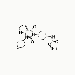 CC(C)(C)OC(=O)NC1CCC(n2c(=O)c3cccnc3n(C3CCSCC3)c2=O)CC1